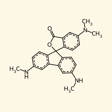 CNc1ccc2c(c1)-c1cc(NC)ccc1C21OC(=O)c2cc(N(C)C)ccc21